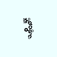 Cc1ncnc(C)c1C(=O)N1CCC(C)(N2CCC(N3C(=O)N(CC4CCOCC4)CC3c3ccccc3)CC2)CC1